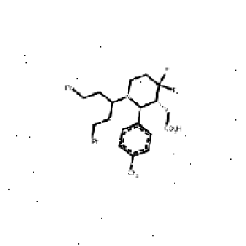 CC(C)CCC(CCC(C)C)N1CCC(F)(F)[C@H](CC(=O)O)[C@H]1c1ccc(C(F)(F)F)cc1